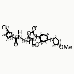 CO[C@H]1CCN(c2ccc3c(c2)OC[C@H]2[C@H](CNC(=O)c4ccc(Cl)s4)OC(=O)N32)C1